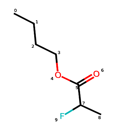 CCCCOC(=O)C(C)F